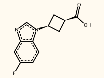 O=C(O)[C@H]1C[C@@H](n2cnc3cc(F)ccc32)C1